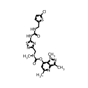 Cc1cc(OC(=O)N(C)Cc2nsc(NC(=O)NCc3ccc(Cl)s3)n2)c2c(n1)c(C)nn2C